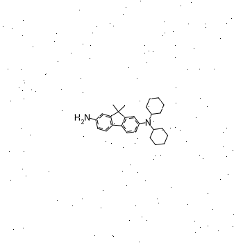 CC1(C)c2cc(N)ccc2-c2ccc(N(C3CCCCC3)C3CCCCC3)cc21